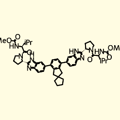 COC(=O)NC(C(=O)N1CCC[C@H]1c1nc2ccc(-c3ccc(-c4ccc5nc([C@@H]6CCCN6C(=O)[C@@H](NC(=O)OC)C(C)C)[nH]c5c4)c4c3CC3(CCCC3)C4)cc2[nH]1)C(C)C